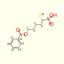 O=C(OCCCC[C@H](F)C(=O)O)c1ccccc1